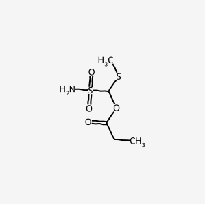 CCC(=O)OC(SC)S(N)(=O)=O